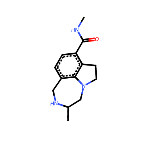 CNC(=O)c1ccc2c3c1CCN3CC(C)NC2